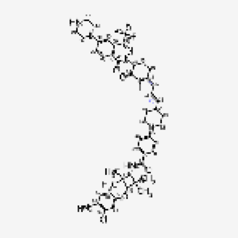 CC1(C)[C@H](NC(=O)c2ccc(N3CCC(/C=C/C=C4/CCC(n5nc(C(F)(F)F)c6cc(N7CCNCC7)ccc6c5=O)C(=O)N4)CC3)cc2)C(C)(C)[C@H]1Oc1ccc(C#N)c(Cl)c1